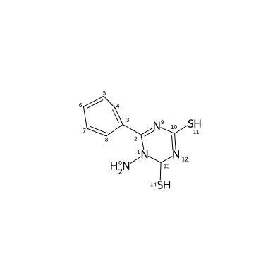 NN1C(c2ccccc2)=NC(S)=NC1S